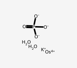 O.O.O=P([O-])([O-])[O-].[K+].[Os+4]